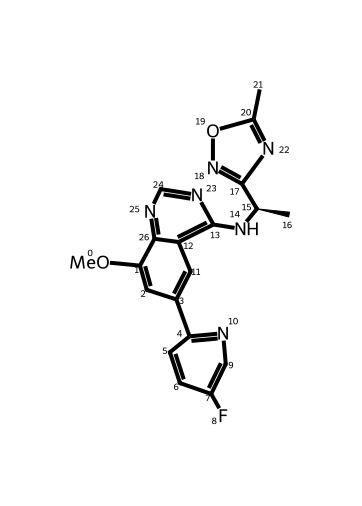 COc1cc(-c2ccc(F)cn2)cc2c(N[C@H](C)c3noc(C)n3)ncnc12